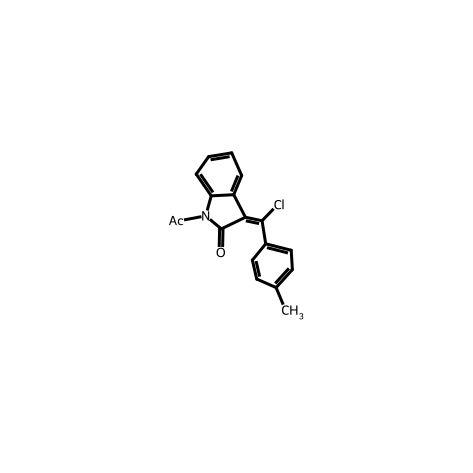 CC(=O)N1C(=O)C(=C(Cl)c2ccc(C)cc2)c2ccccc21